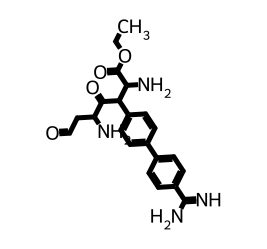 CCOC(=O)C(N)C(C(=O)C(N)CC=O)c1ccc(-c2ccc(C(=N)N)cc2)cc1